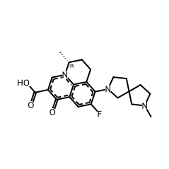 C[C@@H]1CCc2c(N3CCC4(CCN(C)C4)C3)c(F)cc3c(=O)c(C(=O)O)cn1c23